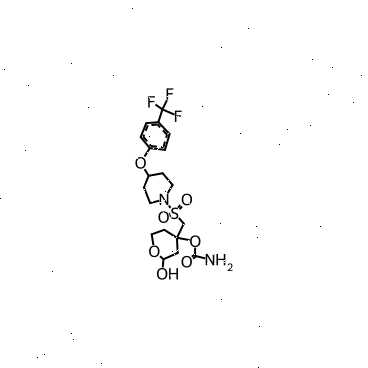 NC(=O)OC1(CS(=O)(=O)N2CCC(Oc3ccc(C(F)(F)F)cc3)CC2)CCOC(O)C1